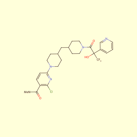 CNC(=O)c1ccc(N2CCC(CC3CCN(C(=O)C(O)(c4cccnc4)C(F)(F)F)CC3)CC2)nc1Cl